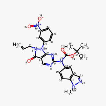 C=CCn1c(=O)c2cnc(N(C(=O)OC(C)(C)C)c3ccc4c(cnn4C)c3)nc2n1-c1cccc([N+](=O)[O-])c1